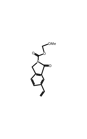 C=Cc1ccc2c(c1)C(=O)N(C(=O)OCOC)C2